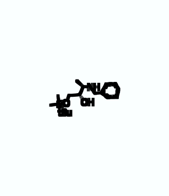 C[C@@H](NCc1ccccc1)[C@H](O)CO[Si](C)(C)C(C)(C)C